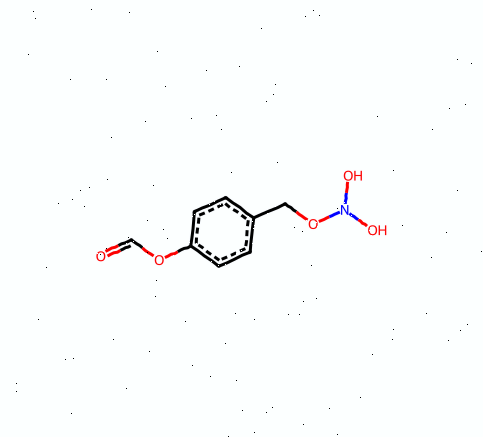 O=COc1ccc(CON(O)O)cc1